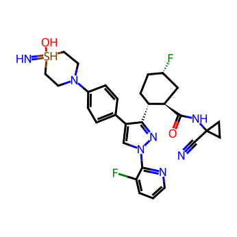 N#CC1(NC(=O)[C@@H]2C[C@@H](F)CC[C@H]2c2nn(-c3ncccc3F)cc2-c2ccc(N3CC[SH](=N)(O)CC3)cc2)CC1